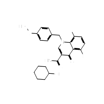 COc1ccc(Cn2cc(C(=O)N[C@H]3CCCCC3O)c(=O)c3c(F)ccc(F)c32)cc1